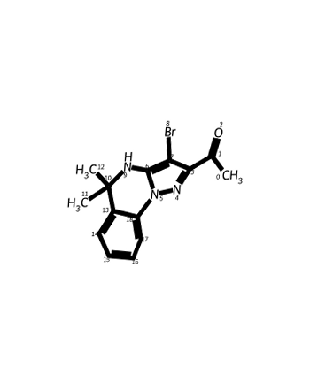 CC(=O)c1nn2c(c1Br)NC(C)(C)c1ccccc1-2